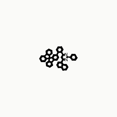 c1ccc(-c2nc(-c3ccccc3-c3ccc4c(c3)C3(c5ccccc5-c5ccccc53)c3ccccc3-4)cc(-c3cccc4ccccc34)n2)cc1